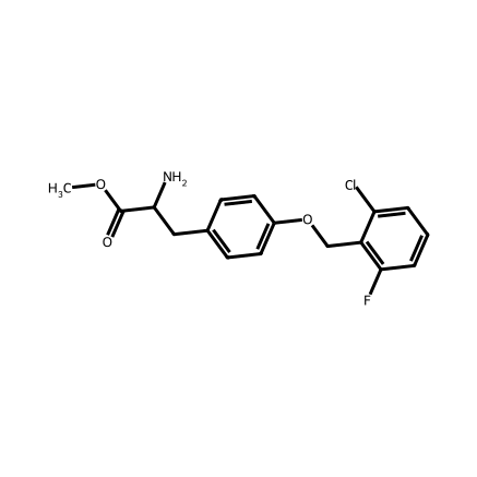 COC(=O)C(N)Cc1ccc(OCc2c(F)cccc2Cl)cc1